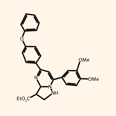 CCOC(=O)C1CNN2C(c3ccc(OC)c(OC)c3)=CC(c3ccc(Oc4ccccc4)cc3)=NC12